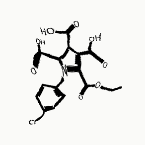 CCOC(=O)c1c(C(=O)O)c(C(=O)O)c(C(=O)O)n1-c1ccc(Cl)cc1